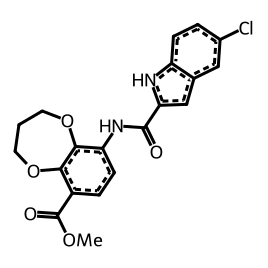 COC(=O)c1ccc(NC(=O)c2cc3cc(Cl)ccc3[nH]2)c2c1OCCCO2